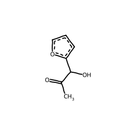 CC(=O)C(O)c1ccco1